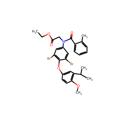 CCOC(=O)CN(C(=O)c1ccccc1C)c1cc(Br)c(Oc2ccc(OC)c(C(C)C)c2)c(Br)c1